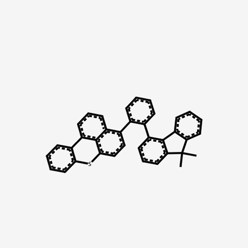 CC1(C)c2ccccc2-c2c(-c3ccccc3-c3ccc4c5c(cccc35)-c3ccccc3S4)cccc21